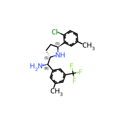 Cc1cc([C@@H](N)[C@@H]2CC[C@@H](c3cc(C)ccc3Cl)N2)cc(C(F)(F)F)c1